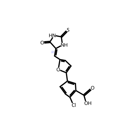 O=C1NC(=S)N/C1=C\c1ccc(-c2ccc(Cl)c(C(=O)O)c2)o1